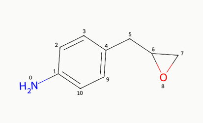 Nc1ccc(CC2CO2)cc1